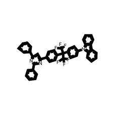 FC(F)(F)C(c1ccc(-c2cc(-c3ccccc3)nc(-c3ccccc3)n2)cc1)(c1ccc(-n2c3ccccc3c3ccccc32)cc1)C(F)(F)F